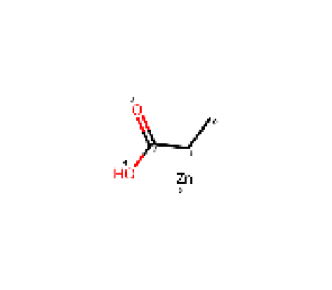 CCC(=O)O.[Zn]